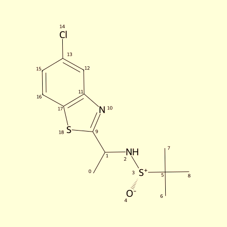 CC(N[S@@+]([O-])C(C)(C)C)c1nc2cc(Cl)ccc2s1